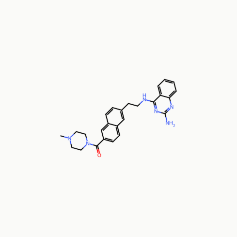 CN1CCN(C(=O)c2ccc3cc(CCNc4nc(N)nc5ccccc45)ccc3c2)CC1